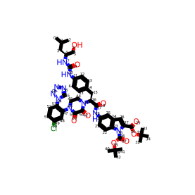 CC(C)C[C@@H](CO)NC(=O)Nc1ccc(C[C@@H](C(=O)Nc2ccc3c(c2)cc(C(=O)OC(C)(C)C)n3C(=O)OC(C)(C)C)N2CCN(c3cc(Cl)ccc3-n3cnnn3)C(=O)C2=O)cc1